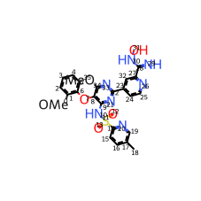 COc1ccccc1Oc1c(NS(=O)(=O)c2ccc(C)cn2)nc(-c2ccnc(C(=N)NO)c2)nc1OC